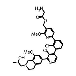 COc1cc(-c2nccc(-c3cccc(-c4ccc(COC(=O)CN)c(OC)n4)c3Cl)c2Cl)cc2c1CN(C[C@@H](C)O)CC2